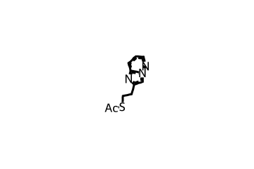 CC(=O)SCCc1cn2ncccc2n1